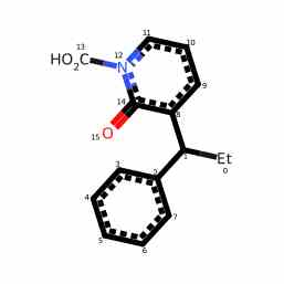 CCC(c1ccccc1)c1cccn(C(=O)O)c1=O